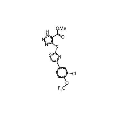 COC(=O)c1[nH]nnc1Sc1nc(-c2ccc(OC(F)(F)F)c(Cl)c2)cs1